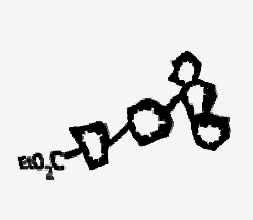 CCOC(=O)c1ccc(-c2ccc(-c3c4ccccc4cc4ccccc34)cc2)cc1